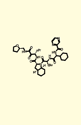 CCC[C@H](NC(=O)[C@@H]1C[C@@H]2CCCC[C@@H]2N1C(=O)[C@@H](NC(=O)[C@@H](NC(=O)c1cnccn1)C1CCCCC1)C(C)(C)C)C(=O)C(=O)NC[C@H]1CCCO1